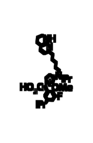 COc1c(F)cc(C(C)C)cc1[C@H](C(=O)O)N1CC[C@@H](N(CCCCCc2ccc3c(n2)NCCC3)C(C)C)C1